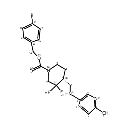 Cc1cnc(NC[C@H]2CCN(C(=O)OCc3ccc(F)cc3)CC2(F)F)cn1